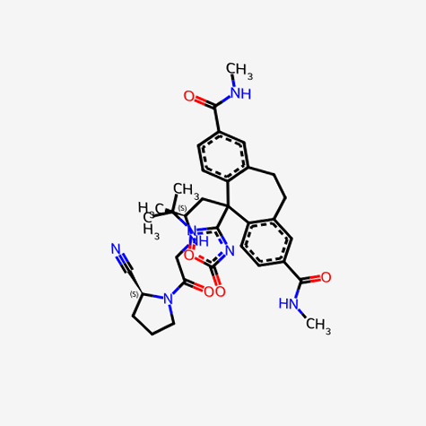 CNC(=O)c1ccc2c(c1)CCc1cc(C(=O)NC)ccc1C2(C[C@H](C)NCC(=O)N1CCC[C@H]1C#N)c1nc(=O)on1C(C)C